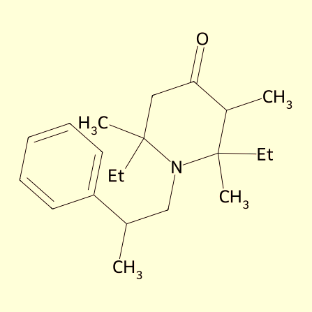 CCC1(C)CC(=O)C(C)C(C)(CC)N1CC(C)c1ccccc1